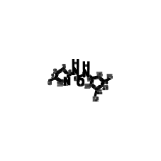 Cc1ccc(NC(=O)Nc2cc(C)cc(C)c2)nc1